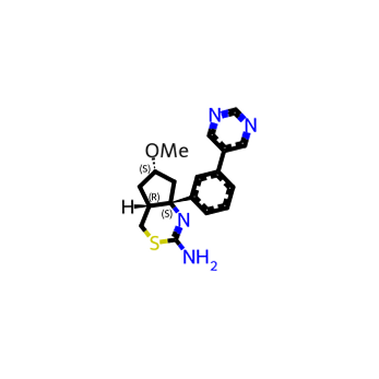 CO[C@H]1C[C@H]2CSC(N)=N[C@@]2(c2cccc(-c3cncnc3)c2)C1